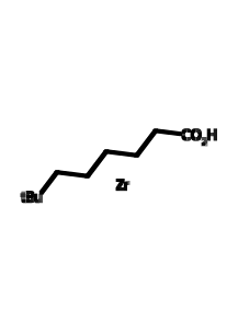 CC(C)(C)CCCCCC(=O)O.[Zr]